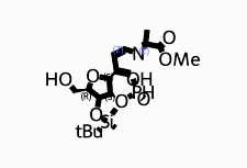 C=C(/C=C\N=C(/C)C(=O)OC)[C@@H]1O[C@H](CO)C(O[Si](C)(C)C(C)(C)C)[C@H]1O[PH](=O)O